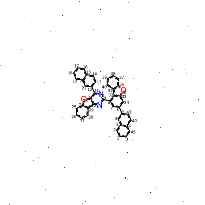 c1ccc2cc(-c3cc(-c4nc(-c5ccc6ccccc6c5)c5oc6ccccc6c5n4)c4c(c3)oc3ccccc34)ccc2c1